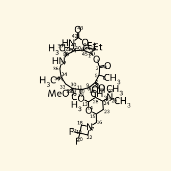 CC[C@H]1OC(=O)C(C)C(=O)[C@H](C)[C@@H](OC2OC(CN3CC(F)(F)C3)CC(N(C)C)C2O)[C@](C)(OC)C[C@@H](C)CN[C@H](C)[C@H]2NC(=O)O[C@@]21CC